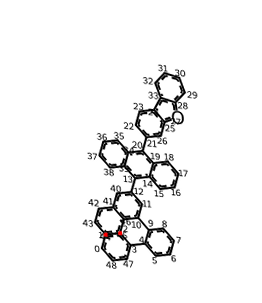 c1ccc(-c2ccccc2-c2cc(-c3c4ccccc4c(-c4ccc5c(c4)oc4ccccc45)c4ccccc34)cc3ccccc23)cc1